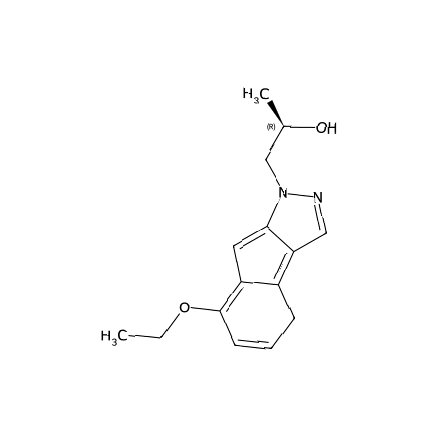 CCOC1=C2C=c3c(cnn3C[C@@H](C)O)=C2CC=C1